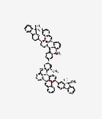 Cc1cc(-c2ccc(N(c3ccc(-c4ccc5c(c4)C(C)(C)c4ccccc4-5)cc3)c3c(C)cccc3-c3ccc4ccccc4c3)c(C)c2)ccc1N(c1ccc(-c2ccc3c(c2)C(C)(C)c2ccccc2-3)cc1)c1c(C)cccc1-c1ccc2ccccc2c1